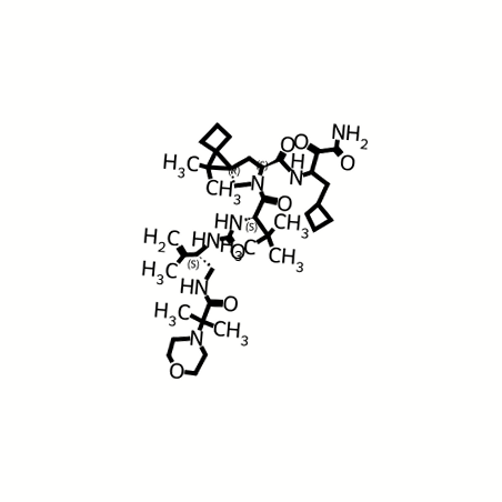 C=C(C)[C@@H](CNC(=O)C(C)(C)N1CCOCC1)NC(=O)N[C@H](C(=O)N1C[C@]2(C[C@H]1C(=O)NC(CC1CCC1)C(=O)C(N)=O)C(C)(C)C21CCC1)C(C)(C)C